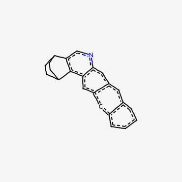 c1ccc2cc3cc4c5c(cnc4cc3cc2c1)C1CCC5CC1